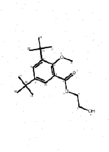 COc1c(C(=O)OCCO)cc(C(C)(C)C)cc1C(C)(C)C